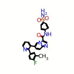 Cc1cc(-c2ncccc2-c2ccc3ncc(C(=O)Nc4ccc(S(N)(=O)=O)cc4)n3c2)ccc1F